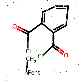 CCCCCC.O=C(Cl)c1ccccc1C(=O)Cl